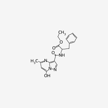 CCOC(=O)C(Cc1ccccc1)NC(=O)c1cnn2c(O)cc(C)nc12